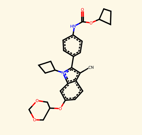 N#Cc1c(-c2ccc(NC(=O)OC3CCC3)cc2)n(C2CCC2)c2cc(OC3COCOC3)ccc12